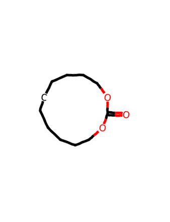 O=C1OCCCCCCCCCCO1